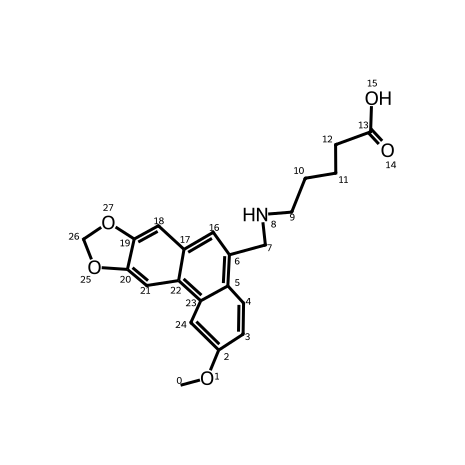 COc1ccc2c(CNCCCCC(=O)O)cc3cc4c(cc3c2c1)OCO4